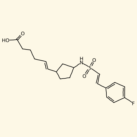 O=C(O)CCCC=CC1CCC(NS(=O)(=O)C=Cc2ccc(F)cc2)C1